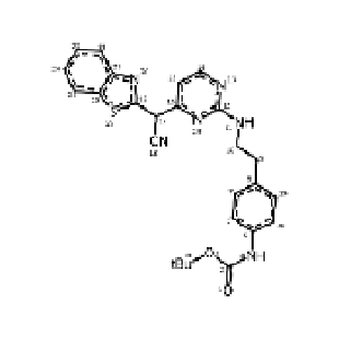 CC(C)(C)OC(=O)Nc1ccc(CCNc2nccc(C(C#N)c3nc4ccccc4s3)n2)cc1